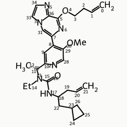 C=CCCOc1nc(-c2cc([C@@H](C)N(CC)C(=O)NC(CC=C)CC3CCC3)ncc2OC)cn2ccnc12